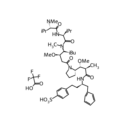 CC[C@H](C)[C@@H]([C@@H](CC(=O)N1CCC[C@H]1[C@H](OC)[C@@H](C)C(=O)N[C@H](CCc1ccc(S(=O)(=O)O)cc1)Cc1ccccc1)OC)N(C)C(=O)[C@@H](NC(=O)[C@@H](NC)C(C)C)C(C)C.O=C(O)C(F)(F)F